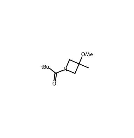 COC1(C)CN(C(=O)C(C)(C)C)C1